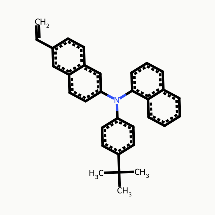 C=Cc1ccc2cc(N(c3ccc(C(C)(C)C)cc3)c3cccc4ccccc34)ccc2c1